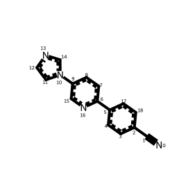 N#Cc1ccc(-c2ccc(-n3ccnc3)cn2)cc1